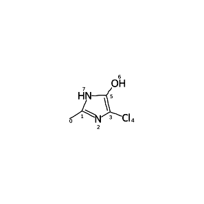 Cc1nc(Cl)c(O)[nH]1